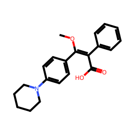 COC(=C(C(=O)O)c1ccccc1)c1ccc(N2CCCCC2)cc1